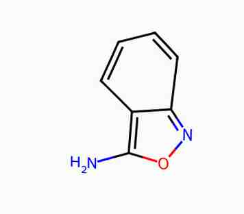 Nc1onc2ccccc12